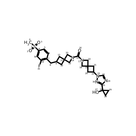 CS(=O)(=O)c1ccc(CC2CC3(C2)CN(C(=O)N2CC4(CC(n5cnc(C6(O)CC6)n5)C4)C2)C3)c(F)c1